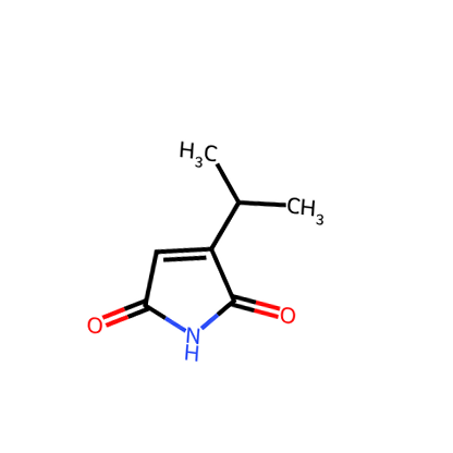 CC(C)C1=CC(=O)NC1=O